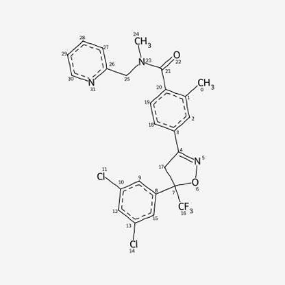 Cc1cc(C2=NOC(c3cc(Cl)cc(Cl)c3)(C(F)(F)F)C2)ccc1C(=O)N(C)Cc1ccccn1